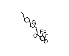 CCCC1CCC(C2CCC(CCCC(=O)c3ccc(OC)c(F)c3C(F)F)CO2)CC1